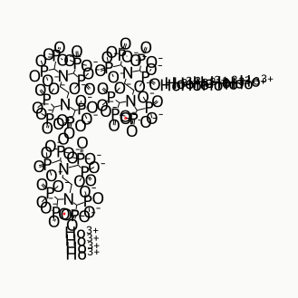 O=P([O-])([O-])C(N(CCN(C(P(=O)([O-])[O-])P(=O)([O-])[O-])C(P(=O)([O-])[O-])P(=O)([O-])[O-])C(P(=O)([O-])[O-])P(=O)([O-])[O-])P(=O)([O-])[O-].O=P([O-])([O-])C(N(CCN(C(P(=O)([O-])[O-])P(=O)([O-])[O-])C(P(=O)([O-])[O-])P(=O)([O-])[O-])C(P(=O)([O-])[O-])P(=O)([O-])[O-])P(=O)([O-])[O-].O=P([O-])([O-])C(N(CCN(C(P(=O)([O-])[O-])P(=O)([O-])[O-])C(P(=O)([O-])[O-])P(=O)([O-])[O-])C(P(=O)([O-])[O-])P(=O)([O-])[O-])P(=O)([O-])[O-].[Ho+3].[Ho+3].[Ho+3].[Ho+3].[Ho+3].[Ho+3].[Ho+3].[Ho+3].[Ho+3].[Ho+3].[Ho+3].[Ho+3].[Ho+3].[Ho+3].[Ho+3].[Ho+3]